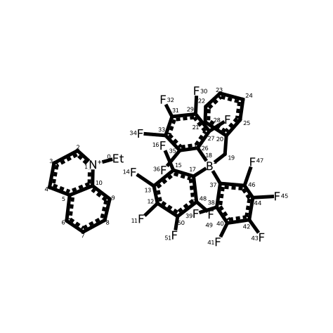 CC[n+]1cccc2ccccc21.Fc1c(F)c(F)c([B-](Cc2ccccc2)(c2c(F)c(F)c(F)c(F)c2F)c2c(F)c(F)c(F)c(F)c2F)c(F)c1F